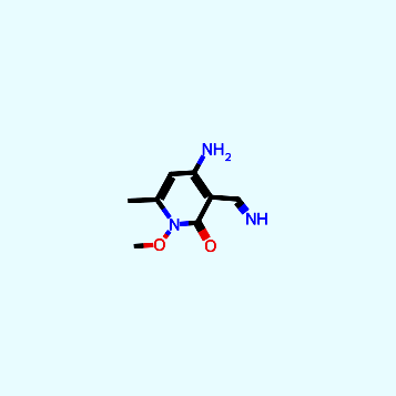 COn1c(C)cc(N)c(C=N)c1=O